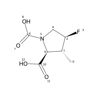 C[C@H]1[C@H](F)CN(C(=O)O)[C@@H]1C(=O)O